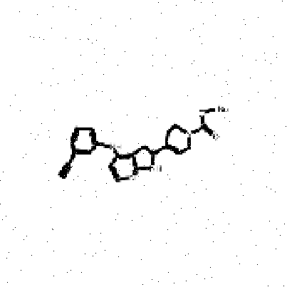 C#Cc1cccc(Nc2ccnc3c2CC(C2=CCN(C(=O)OC(C)(C)C)CC2)N3)c1